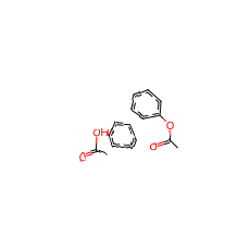 CC(=O)O.CC(=O)Oc1ccccc1.c1ccccc1